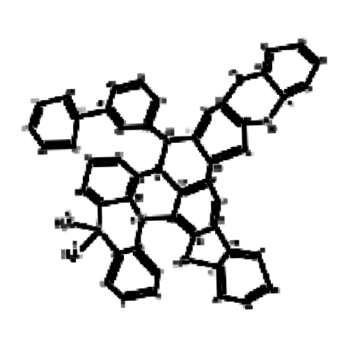 C[Si]1(C)c2ccccc2N2c3c(cccc31)B1c3c(cc4c(oc5ccccc54)c32)-c2cc3c(cc2N1c1cccc(-c2ccccc2)c1)Sc1ccccc1S3